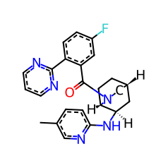 Cc1ccc(N[C@@H]2C[C@H]3CC[C@@H]2N(C(=O)c2cc(F)ccc2-c2ncccn2)C3)nc1